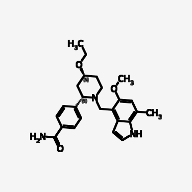 CCO[C@H]1CCN(Cc2c(OC)cc(C)c3[nH]ccc23)[C@H](c2ccc(C(N)=O)cc2)C1